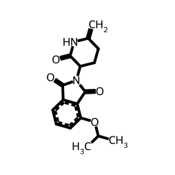 C=C1CCC(N2C(=O)c3cccc(OC(C)C)c3C2=O)C(=O)N1